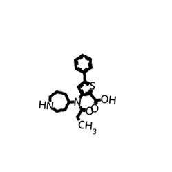 CCC(=O)N(c1cc(-c2ccccc2)sc1C(=O)O)C1CCCNCC1